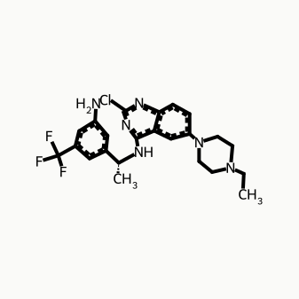 CCN1CCN(c2ccc3nc(Cl)nc(N[C@H](C)c4cc(N)cc(C(F)(F)F)c4)c3c2)CC1